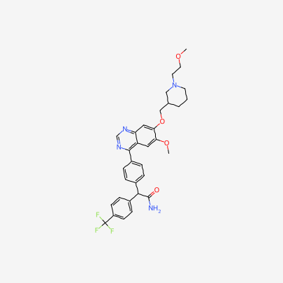 COCCN1CCCC(COc2cc3ncnc(-c4ccc(C(C(N)=O)c5ccc(C(F)(F)F)cc5)cc4)c3cc2OC)C1